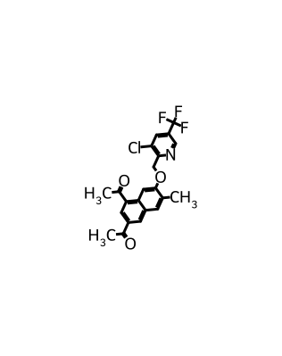 CC(=O)c1cc(C(C)=O)c2cc(OCc3ncc(C(F)(F)F)cc3Cl)c(C)cc2c1